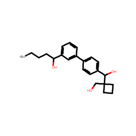 CC(C)(C)CCCC(O)c1cc[c]c(-c2ccc(C(O)C3(CO)CCC3)cc2)c1